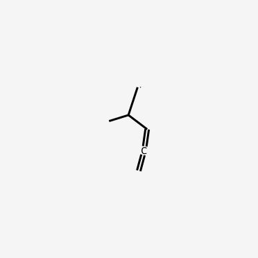 [CH2]C(C)C=C=C